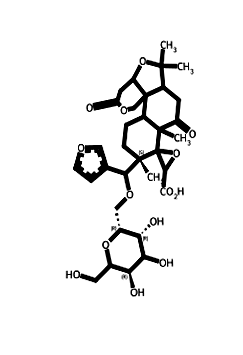 CC1(C)OC2CC(=O)OCC23C1CC(=O)C1(C)C3CC[C@@](C)(C(OC[C@H]2OC(CO)[C@H](O)C(O)[C@H]2O)c2ccoc2)C12OC2C(=O)O